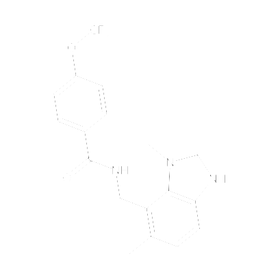 Cc1ccc2c(c1CNC(=O)c1ccc(OC(F)(F)F)cc1)N(C)CN2